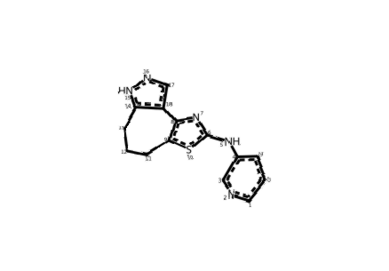 c1cncc(Nc2nc3c(s2)CCCc2[nH]ncc2-3)c1